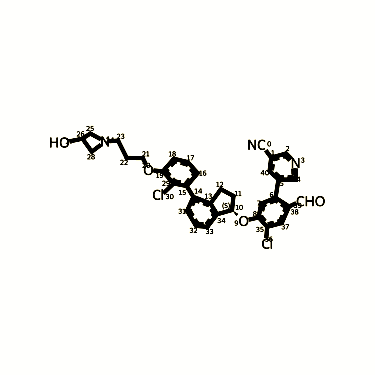 N#Cc1cncc(-c2cc(O[C@H]3CCc4c(-c5cccc(OCCCN6CC(O)C6)c5Cl)cccc43)c(Cl)cc2C=O)c1